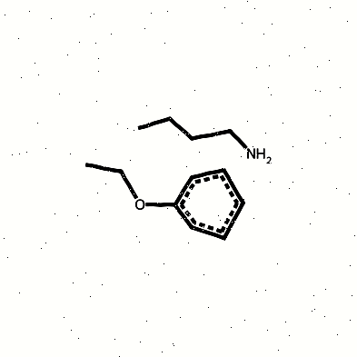 CCCCN.CCOc1ccccc1